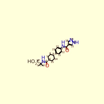 CC(C)(NC(=O)[C@H]1CC[C@H](c2ccc(NC(=O)c3cn[nH]c3)cc2)CC1)C(=O)O